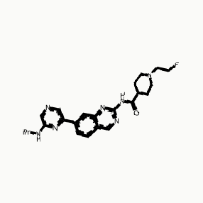 CC(C)Nc1cncc(-c2ccc3cnc(NC(=O)C4CCN(CCF)CC4)nc3c2)n1